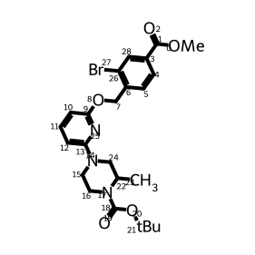 COC(=O)c1ccc(COc2cccc(N3CCN(C(=O)OC(C)(C)C)C(C)C3)n2)c(Br)c1